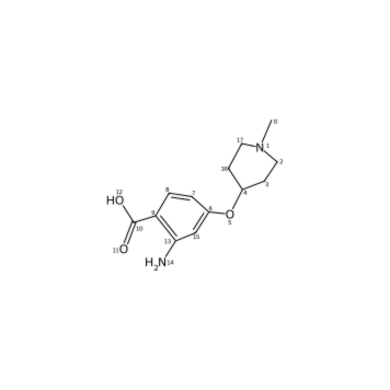 CN1CCC(Oc2ccc(C(=O)O)c(N)c2)CC1